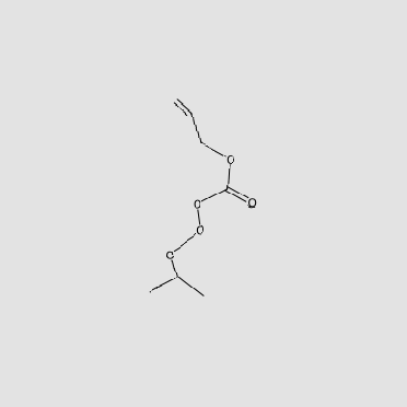 C=CCOC(=O)OOOC(C)C